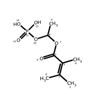 CC(C)=C(C)C(=O)OC(C)OP(=O)(O)O